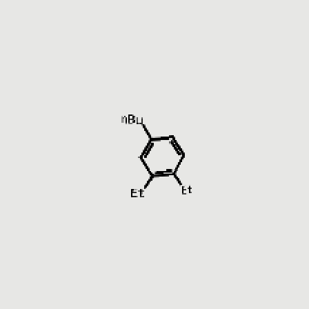 CCCCc1ccc(CC)c(CC)c1